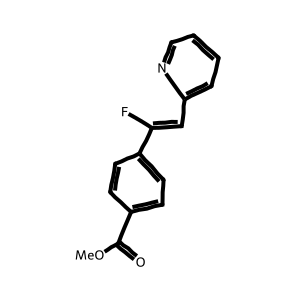 COC(=O)c1ccc(C(F)=Cc2ccccn2)cc1